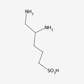 NCC(N)CCCS(=O)(=O)O